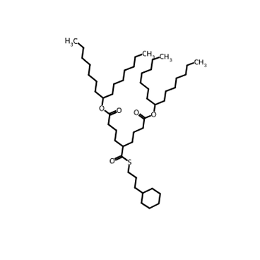 CCCCCCCC(CCCCCCC)OC(=O)CCCC(CCCC(=O)OC(CCCCCCC)CCCCCCC)C(=O)SCCCC1CCCCC1